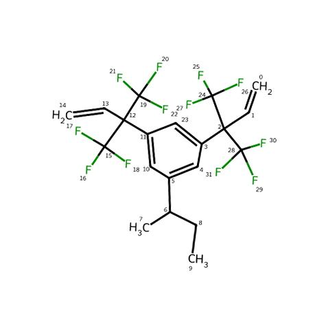 C=CC(c1cc(C(C)CC)cc(C(C=C)(C(F)(F)F)C(F)(F)F)c1)(C(F)(F)F)C(F)(F)F